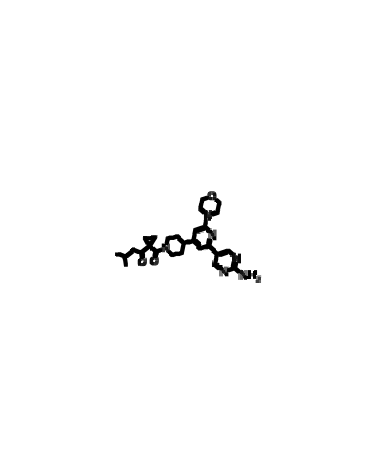 CC(C)=CC(=O)C1(C(=O)N2CCC(c3cc(-c4cnc(N)nc4)nc(N4CCOCC4)c3)CC2)CC1